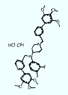 COc1cc(-c2cccc(CN3CCC(N(Cc4ccnc(-c5cc(OC)c(OC)c(OC)c5)c4)c4ccc(F)c(F)c4)CC3)c2)cc(OC)c1OC.Cl.Cl